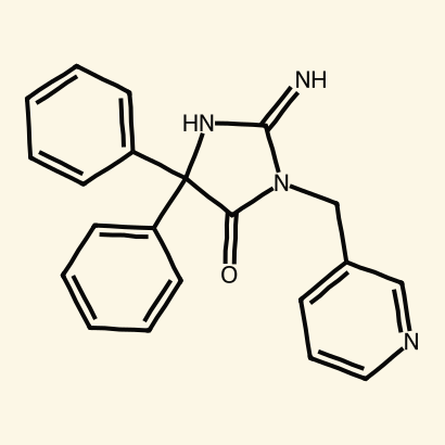 N=C1NC(c2ccccc2)(c2ccccc2)C(=O)N1Cc1cccnc1